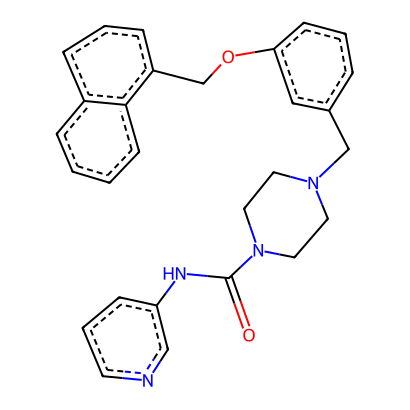 O=C(Nc1cccnc1)N1CCN(Cc2cccc(OCc3cccc4ccccc34)c2)CC1